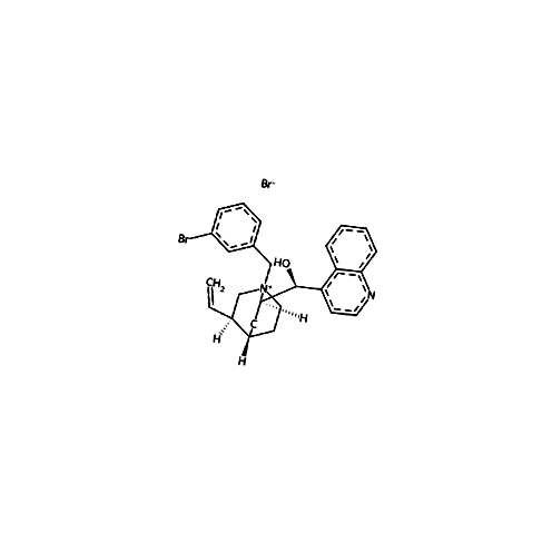 C=C[C@H]1C[N+]2(Cc3cccc(Br)c3)CC[C@H]1C[C@@H]2[C@@H](O)c1ccnc2ccccc12.[Br-]